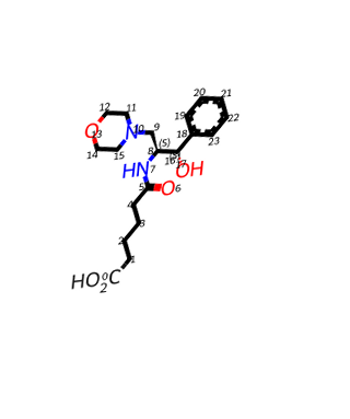 O=C(O)CCCCC(=O)N[C@@H](CN1CCOCC1)[C@@H](O)c1ccccc1